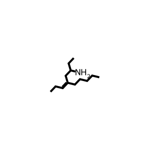 CCC=C(CCCCC)CC(N)CC